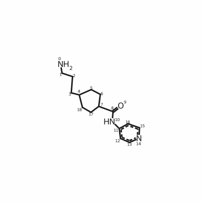 NCCCC1CCC(C(=O)Nc2ccncc2)CC1